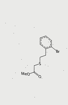 COC(=O)CSCCc1ccccc1Br